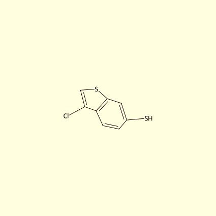 Sc1ccc2c(Cl)csc2c1